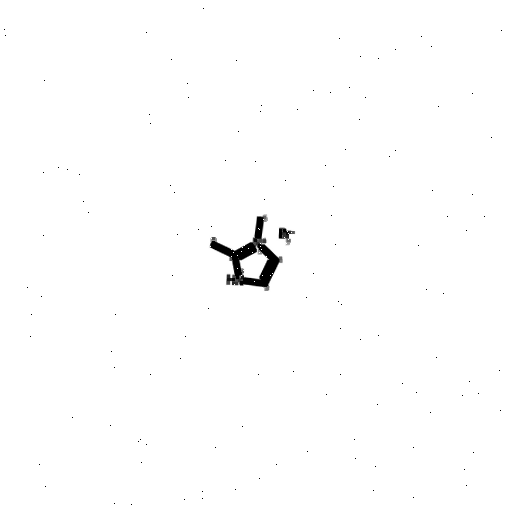 Cc1[nH]cc[n+]1C.[Br-]